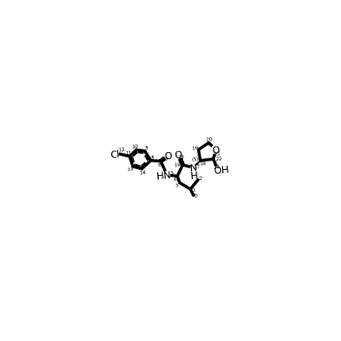 CC(C)CC(NC(=O)c1ccc(Cl)cc1)C(=O)N[C@H]1CCOC1O